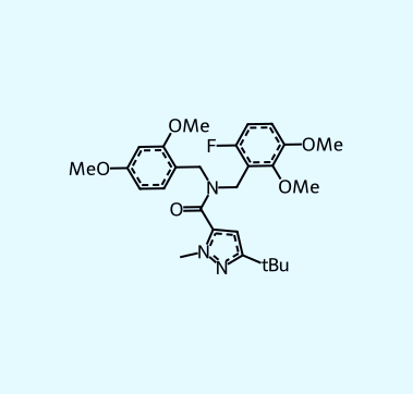 COc1ccc(CN(Cc2c(F)ccc(OC)c2OC)C(=O)c2cc(C(C)(C)C)nn2C)c(OC)c1